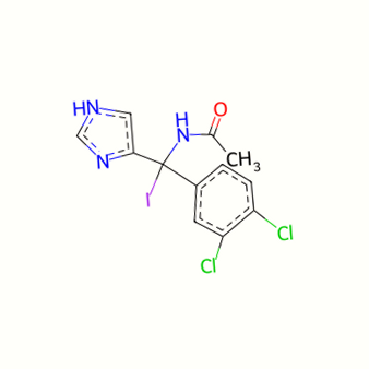 CC(=O)NC(I)(c1ccc(Cl)c(Cl)c1)c1c[nH]cn1